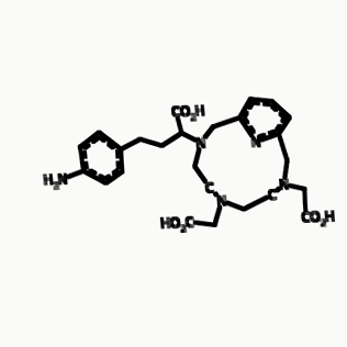 Nc1ccc(CCC(C(=O)O)N2CCN(CC(=O)O)CCN(CC(=O)O)Cc3cccc(n3)C2)cc1